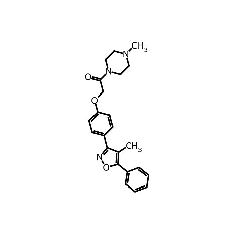 Cc1c(-c2ccc(OCC(=O)N3CCN(C)CC3)cc2)noc1-c1ccccc1